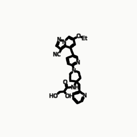 CCOc1cc(-c2ccc(N3CCC(Cc4ccccn4)(NC(=O)C(O)CO)CC3)nc2)c2c(C#N)cnn2c1